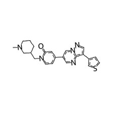 CN1CCCC(Cn2ccc(-c3cnc4c(-c5ccsc5)cnn4c3)cc2=O)C1